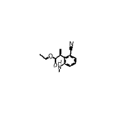 C=C(C(=O)OCC)c1c(C#N)cccc1NC